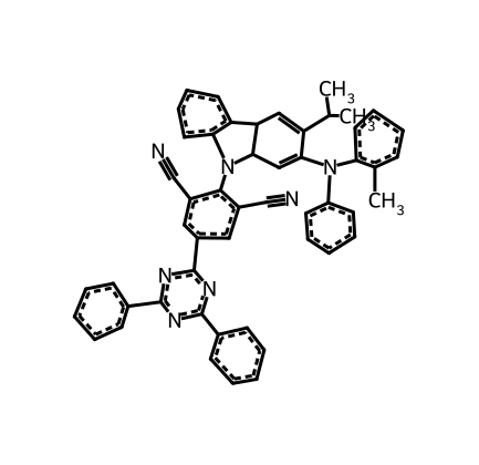 Cc1ccccc1N(C1=CC2C(C=C1C(C)C)c1ccccc1N2c1c(C#N)cc(-c2nc(-c3ccccc3)nc(-c3ccccc3)n2)cc1C#N)c1ccccc1